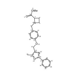 COC(=O)C1CCN1Cc1ccc(OCc2nc(-c3ccccc3)oc2C)cc1